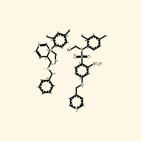 Cc1ccc(N(CC(C)C)S(=O)(=O)c2ccc(OCc3ccncc3)cc2S(=O)(=O)O)c(C)c1.Cc1ccc([N+]2(CC(C)C)C=NC=CC2COCc2ccccc2)c(C)c1